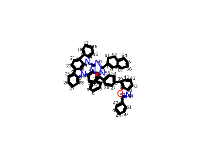 C1=C(c2nc(-c3ccccc3)nc(-n3c4ccccc4c4ccc5c6ccccc6n(-c6ccc(-c7ccc(-c8cccc9nc(-c%10ccccc%10)oc89)cc7)cc6)c5c43)n2)CCc2ccccc21